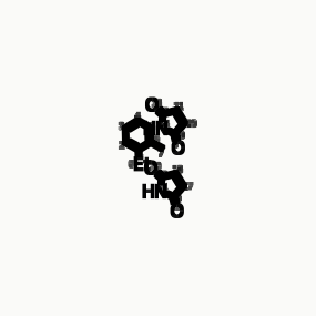 CCc1ccccc1C.O=C1C=CC(=O)N1.O=C1C=CC(=O)N1